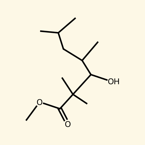 COC(=O)C(C)(C)C(O)C(C)CC(C)C